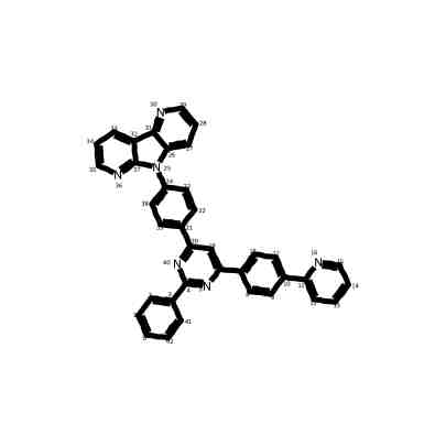 c1ccc(-c2nc(-c3ccc(-c4ccccn4)cc3)cc(-c3ccc(-n4c5cccnc5c5cccnc54)cc3)n2)cc1